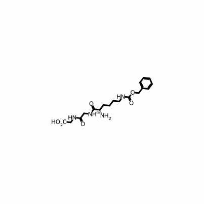 N[C@@H](CCCCNC(=O)OCc1ccccc1)C(=O)NCC(=O)NCC(=O)O